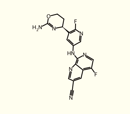 N#Cc1cnc2c(Nc3cnc(F)c([C@@H]4CCOC(N)=N4)c3)ncc(F)c2c1